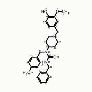 COc1cc(CN2CCC(N(Cc3ccc(C)cc3)C(=O)NCc3ccccc3)CC2)ccc1O